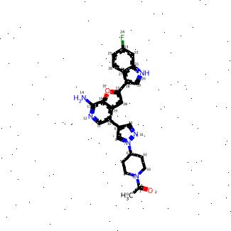 CC(=O)N1CCC(n2cc(-c3cnc(N)c4oc(-c5c[nH]c6cc(F)ccc56)cc34)cn2)CC1